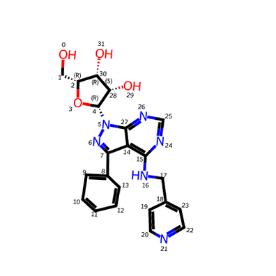 OC[C@H]1O[C@@H](n2nc(-c3ccccc3)c3c(NCc4ccncc4)ncnc32)[C@@H](O)[C@H]1O